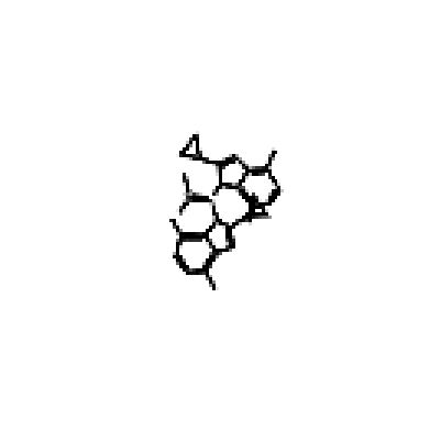 Cc1ccc(C)c2c1C=C(C1CC1)[CH]2[Zr]([CH]1C(C2CC2)=Cc2c(C)ccc(C)c21)=[Si](C)C